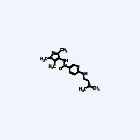 Cc1nn(C)c(C)c1N[S+]([O-])c1ccc(NCCN(C)C)nc1